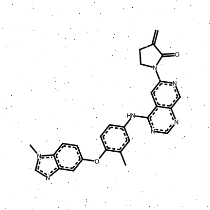 C=C1CCN(c2cc3c(Nc4ccc(Oc5ccc6c(c5)ncn6C)c(C)c4)ncnc3cn2)C1=O